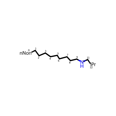 CCCCCCCCCCCCCCCCCCNCC(C)C